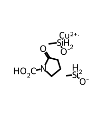 C[SiH2][O-].C[SiH2][O-].O=C(O)N1CCCC1=O.[Cu+2]